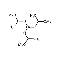 COC(C)[O][La]([O]C(C)OC)[O]C(C)OC